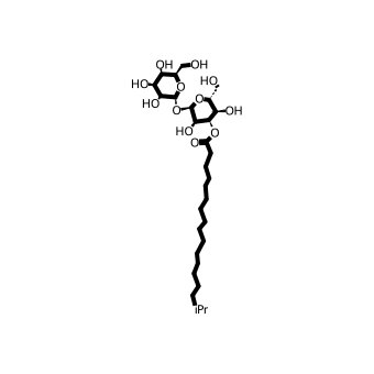 CC(C)CCCCCCCCCCCCCCC(=O)O[C@@H]1[C@@H](O)[C@@H](O[C@H]2O[C@H](CO)[C@@H](O)[C@H](O)[C@H]2O)O[C@H](CO)[C@H]1O